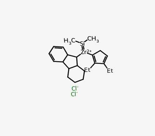 CCC1=CC[C]([Zr+2]([CH]2C3C=CC=CC3C3CCCCC32)=[Si](C)C)=C1CC.[Cl-].[Cl-]